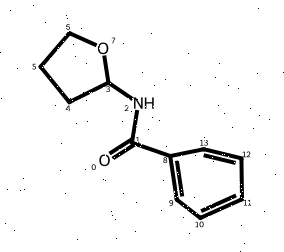 O=C(NC1CCCO1)c1ccccc1